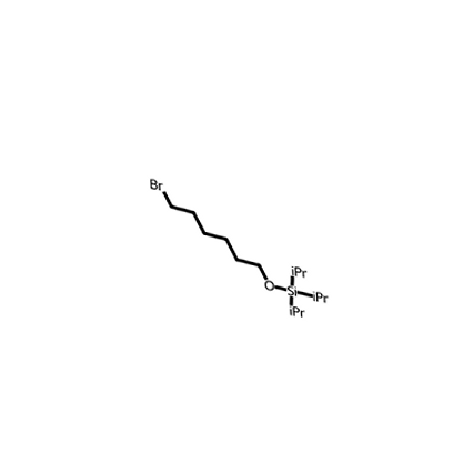 CC(C)[Si](OCCCCCCBr)(C(C)C)C(C)C